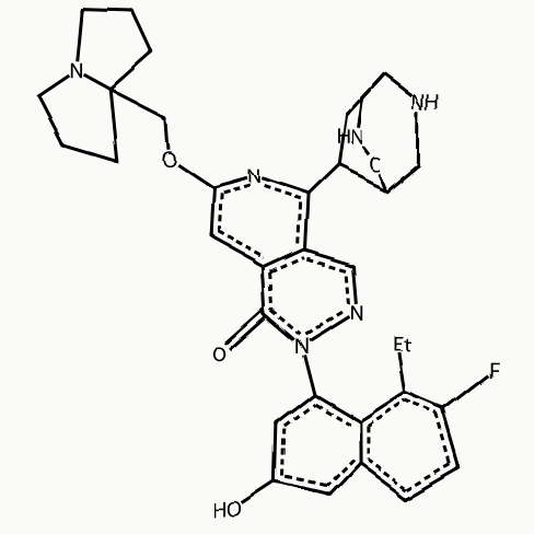 CCc1c(F)ccc2cc(O)cc(-n3ncc4c(C5CC6CNCC5CN6)nc(OCC56CCCN5CCC6)cc4c3=O)c12